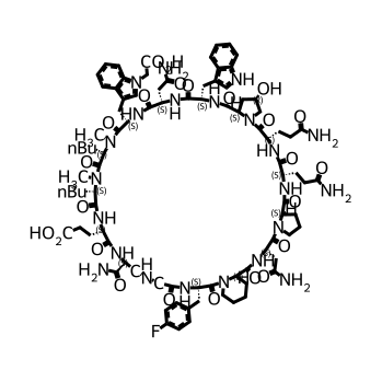 CCCC[C@H]1C(=O)N(C)[C@@H](CCCC)C(=O)N[C@@H](CCC(=O)O)C(=O)N[C@H](C(N)=O)CNCC(=O)N[C@@H](Cc2ccc(F)cc2)C(=O)N2CCCC[C@H]2C(=O)N[C@@H](CC(N)=O)C(=O)N2CCC[C@H]2C(=O)N[C@@H](CCC(N)=O)C(=O)N[C@@H](CCC(N)=O)C(=O)N2C[C@H](O)C[C@H]2C(=O)N[C@@H](Cc2c[nH]c3ccccc23)C(=O)N[C@@H](CC(N)=O)C(=O)N[C@@H](Cc2cn(CC(=O)O)c3ccccc23)C(=O)N1C